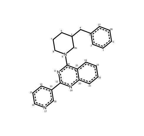 c1ccc(CC2CCCN(c3nc(-c4cccnc4)nc4ccccc34)C2)cc1